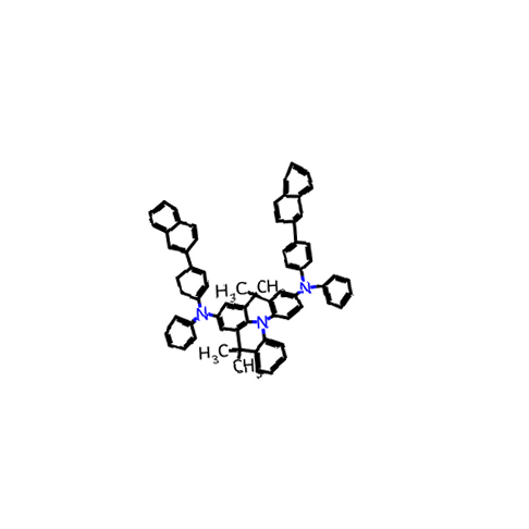 CC1(C)c2ccccc2N2c3ccc(N(c4ccccc4)c4ccc(-c5ccc6ccccc6c5)cc4)cc3C(C)(C)c3cc(N(C4=CC=C(c5ccc6ccccc6c5)CC4)c4ccccc4)cc1c32